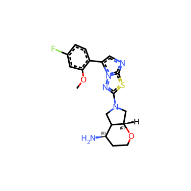 COc1cc(F)ccc1-c1cnc2sc(N3CC4[C@H](N)CCO[C@H]4C3)nn12